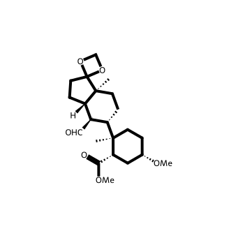 COC(=O)[C@H]1C[C@@H](OC)CC[C@]1(C)[C@H]1CC[C@@]2(C)[C@@H](CCC23OCO3)[C@@H]1C=O